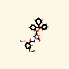 COc1ccc(OC)c(C(=O)CN2C[C@@H](COC(c3ccccc3)(c3ccccc3)c3ccccc3)OC2=O)c1